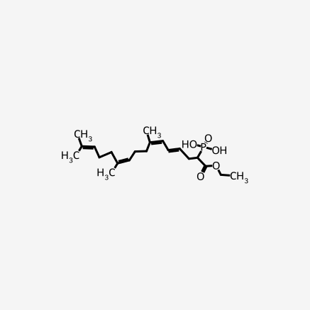 CCOC(=O)C(CC=CC=C(C)CCC=C(C)CCC=C(C)C)P(=O)(O)O